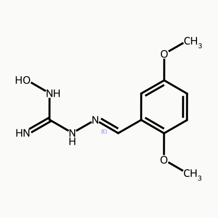 COc1ccc(OC)c(/C=N/NC(=N)NO)c1